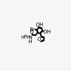 CCCNC(=O)Cc1c(Br)c(O)cc(O)c1-c1ccco1